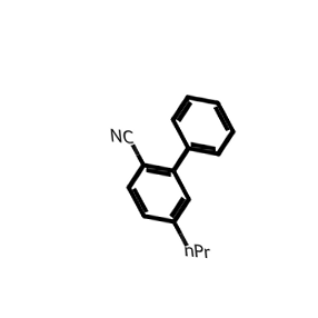 CCCc1ccc(C#N)c(-c2ccccc2)c1